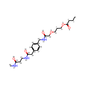 CCCC(=O)OCCCOCC(=O)NCc1ccc(CC(=O)NCCC(=O)NC)cc1